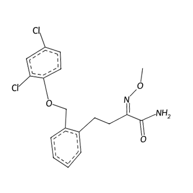 CON=C(CCc1ccccc1COc1ccc(Cl)cc1Cl)C(N)=O